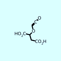 O=C=COC(CC(=O)O)C(=O)O